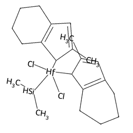 CC1=CC2=C(CCCC2)[CH]1[Hf]([Cl])([Cl])([CH]1C(C)=CC2=C1CCCC2)[SiH](C)C